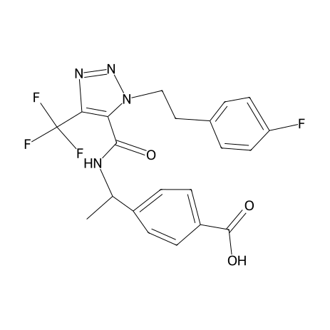 CC(NC(=O)c1c(C(F)(F)F)nnn1CCc1ccc(F)cc1)c1ccc(C(=O)O)cc1